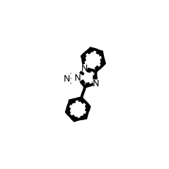 [N].c1ccc(-c2nc3ccccn3n2)cc1